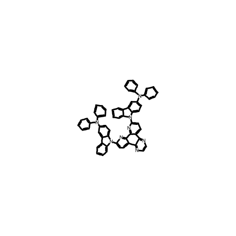 c1ccc(N(c2ccccc2)c2ccc3c(c2)c2ccccc2n3-c2ccc3c4nccnc4c4ccc(-n5c6ccccc6c6cc(N(c7ccccc7)c7ccccc7)ccc65)nc4c3n2)cc1